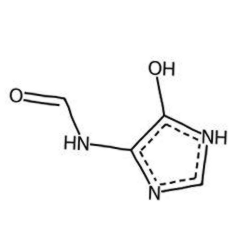 O=CNc1nc[nH]c1O